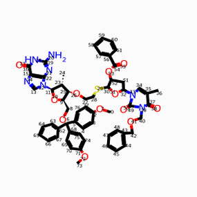 COc1ccc(C(OC[C@H]2O[C@@H](n3cnc4c(=O)[nH]c(N)nc43)[C@H](C)[C@@H]2OCCSC2OC(n3cc(C)c(=O)n(COCc4ccccc4)c3=O)CC2OC(=O)c2ccccc2)(c2ccccc2)c2ccc(OC)cc2)cc1